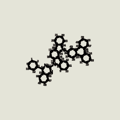 c1ccc(-c2nc(-n3c4ccccc4c4c3ccc3c5ccccc5n(-c5ccc6c7ccccc7c7ccccc7c6c5)c34)nc3ccccc23)cc1